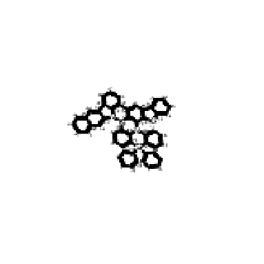 c1ccc([Si]2(c3ccccc3)c3ccccc3N3c4c(cccc42)B2c4c(cc5c(oc6ccccc65)c43)-c3cccc4c5cc6ccccc6cc5n2c34)cc1